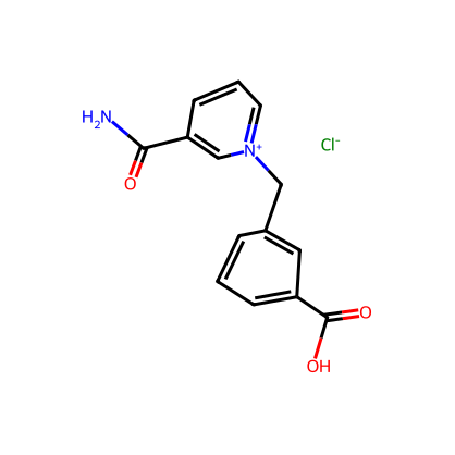 NC(=O)c1ccc[n+](Cc2cccc(C(=O)O)c2)c1.[Cl-]